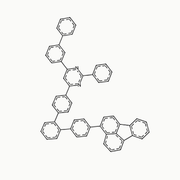 c1ccc(-c2cccc(-c3cc(-c4ccc(-c5ccccc5-c5ccc(-c6ccc7c8c(cccc68)-c6ccccc6-7)cc5)cc4)nc(-c4ccccc4)n3)c2)cc1